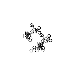 O=C1c2ccccc2C(=O)N1CC1(c2ccsc2)C2CCN(c3cnc4c(-c5cccc(Cl)c5Cl)nn(C5CCCCO5)c4n3)CC21.O=C1c2ccccc2C(=O)N1CC1(c2ccsc2)C2CCN(c3cnc4c(I)nn(C5CCCCO5)c4n3)CC21